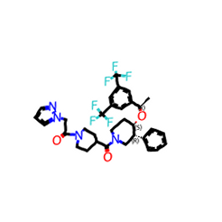 C[C@@H](O[C@H]1CCN(C(=O)C2CCN(C(=O)Cn3cccn3)CC2)C[C@H]1c1ccccc1)c1cc(C(F)(F)F)cc(C(F)(F)F)c1